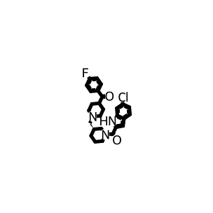 O=C(c1ccc(F)cc1)C1CCN(C[C@H]2CCCN(C(=O)c3cc4ccc(Cl)cc4[nH]3)C2)CC1